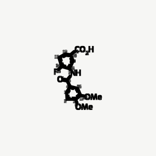 COc1ccc(C(=O)Nc2cc(C(=O)O)ccc2F)cc1OC